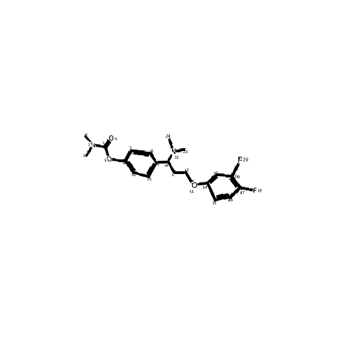 CN(C)C(=O)Oc1ccc(C(CCOc2ccc(F)c(F)c2)N(C)C)cc1